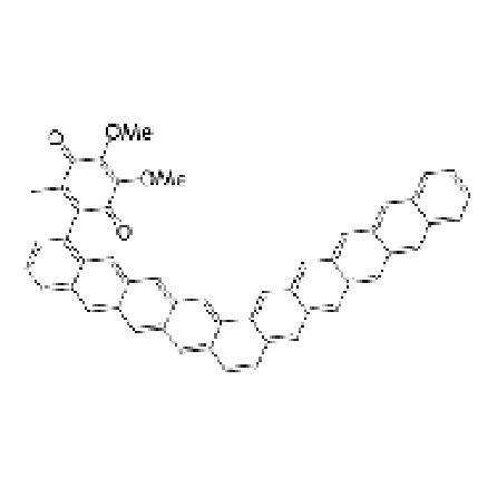 COC1=C(OC)C(=O)C(c2cccc3cc4cc5cc6ccc7cc8cc9cc%10cc%11ccccc%11cc%10cc9cc8cc7c6cc5cc4cc23)=C(C)C1=O